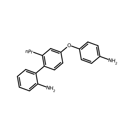 CCCc1cc(Oc2ccc(N)cc2)ccc1-c1ccccc1N